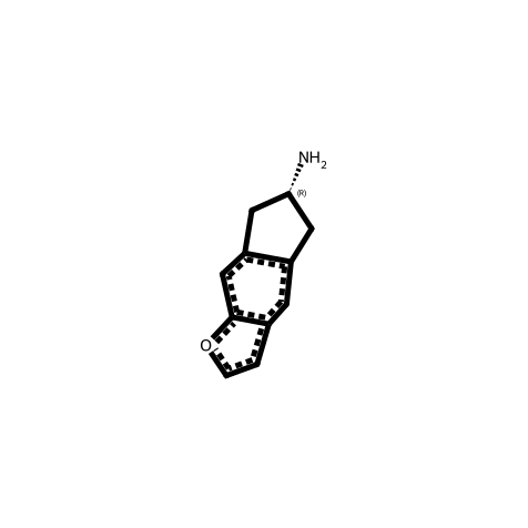 N[C@@H]1Cc2cc3ccoc3cc2C1